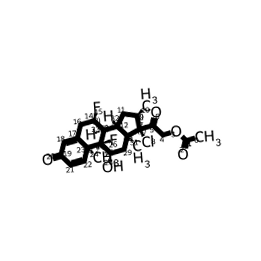 CC(=O)OCC(=O)[C@@]1(Cl)[C@H](C)C[C@H]2[C@@H]3[C@H](F)CC4=CC(=O)C=C[C@]4(C)[C@@]3(F)[C@@H](O)C[C@@]21C